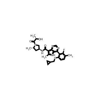 Cc1ccc(OCC2CC2)c(-c2ncnc3c(C(=O)N[C@H]4C[C@H](C)N(C(=O)[C@H](C)O)C4)c(C)[nH]c23)c1F